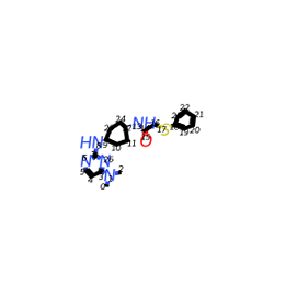 CN(C)c1ccnc(N[C@H]2CC[C@@H](NC(=O)CSc3ccccc3)CC2)n1